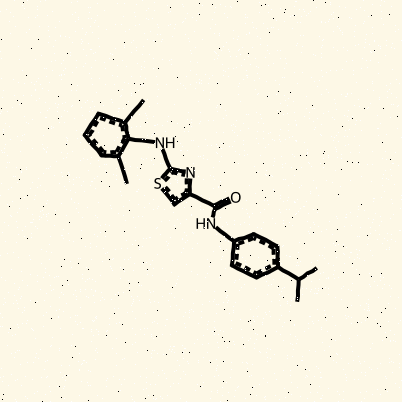 Cc1cccc(C)c1Nc1nc(C(=O)Nc2ccc(C(C)C)cc2)cs1